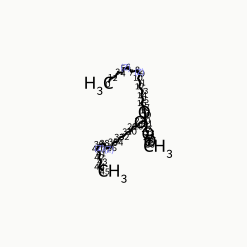 CCCCC/C=C\C/C=C\CCCCCCCCOCC(CCOCOC)OCCCCCCCC/C=C\C/C=C\CCCCC